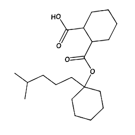 CC(C)CCCC1(OC(=O)C2CCCCC2C(=O)O)CCCCC1